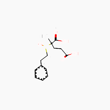 CC(CCC(=O)O)(C(=O)O)[S+]([O-])CCc1ccccc1